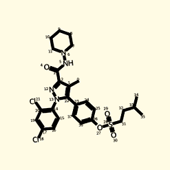 Cc1c(C(=O)NN2CCCCC2)nn(-c2ccc(Cl)cc2Cl)c1-c1ccc(OS(=O)(=O)CCC(C)C)cc1